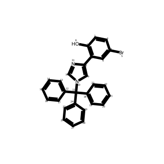 Oc1ccc(Br)cc1-c1cn(C(c2ccccc2)(c2ccccc2)c2ccccc2)cn1